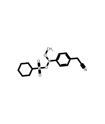 CON(OS(=O)(=O)C1CCCCC1)c1ccc(CC#N)cc1